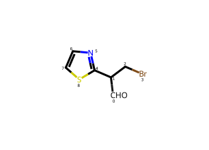 O=CC(CBr)c1nccs1